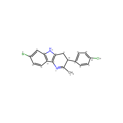 CC1=Nc2c([nH]c3cc(Br)ccc23)CC1c1ccc(Cl)cc1